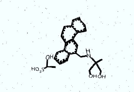 CC(CO)(CO)NCc1cc2c3ccccc3ccc2c2ccccc12.CC(O)S(=O)(=O)O